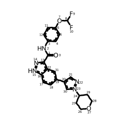 O=C(Nc1ccc(OC(F)F)cc1)c1n[nH]c2ccc(-c3cnn(C4CCOCC4)c3)cc12